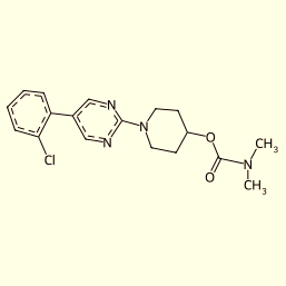 CN(C)C(=O)OC1CCN(c2ncc(-c3ccccc3Cl)cn2)CC1